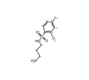 NCCCNS(=O)(=O)c1ccc(F)cc1Cl